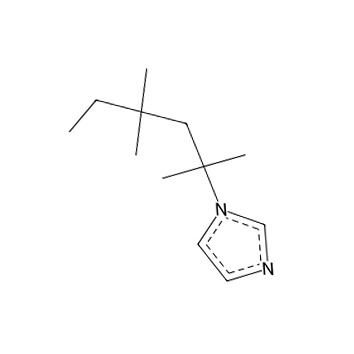 CCC(C)(C)CC(C)(C)n1ccnc1